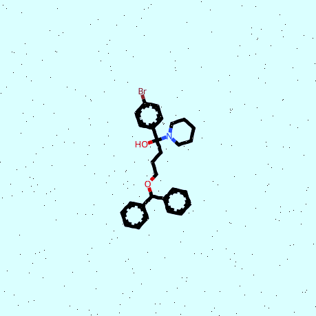 OC(CCCOC(c1ccccc1)c1ccccc1)(c1ccc(Br)cc1)N1CCCCC1